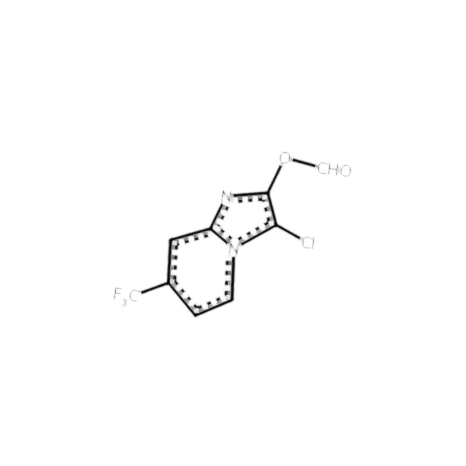 O=COc1nc2cc(C(F)(F)F)ccn2c1Cl